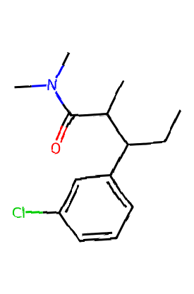 CCC(c1cccc(Cl)c1)C(C)C(=O)N(C)C